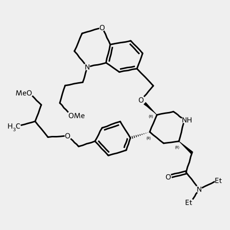 CCN(CC)C(=O)C[C@H]1C[C@H](c2ccc(COCC(C)COC)cc2)[C@@H](OCc2ccc3c(c2)N(CCCOC)CCO3)CN1